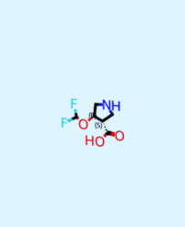 O=C(O)[C@H]1CNC[C@@H]1OC(F)F